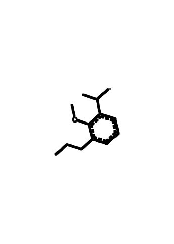 [CH2]C(C)c1cccc(CCC)c1OC